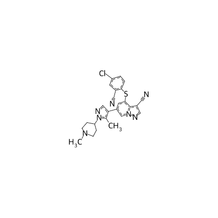 Cc1c(-c2cc(Sc3ccc(Cl)cc3C#N)c3c(C#N)cnn3c2)cnn1C1CCN(C)CC1